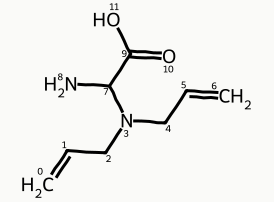 C=CCN(CC=C)C(N)C(=O)O